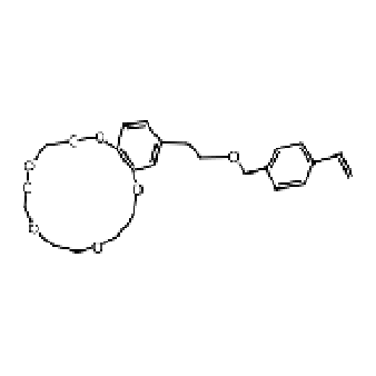 C=Cc1ccc(COCCc2ccc3c(c2)OCCOCCOCCOCCO3)cc1